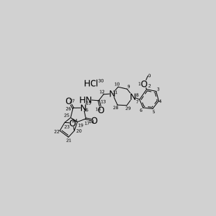 COc1ccccc1N1CCN(CC(=O)NN2C(=O)C3C4C=CC(O4)C3C2=O)CC1.Cl